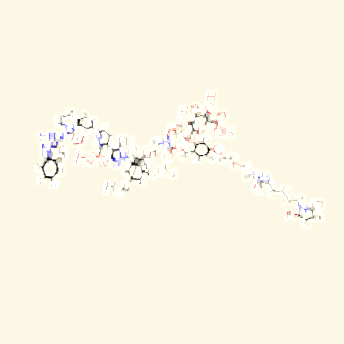 Cc1c(-c2ccc(-c3ccc4c(c3)N(C(=O)Nc3nc5ccccc5s3)CCC4)nc2C(=O)O)cnn1CC12CC3(C)CC(C)(C1)CC(OCCN(C)C(=O)OCc1ccc(OCCOCCNC(=O)CCCCCN4C(=O)C=CC4=O)cc1O[C@@H]1O[C@H](C(=O)O)[C@@H](O)[C@H](O)[C@H]1O)(C3)C2